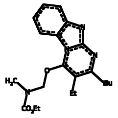 CCOC(=O)N(C)COc1c(CC)c(C(C)CC)nc2nc3ccccc3n12